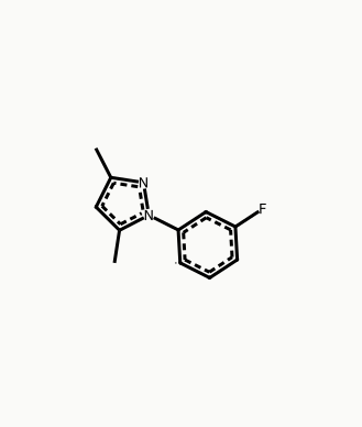 Cc1cc(C)n(-c2[c]ccc(F)c2)n1